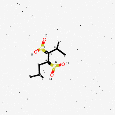 CC(C)CC(C(C(C)C)=S(=O)=O)=S(=O)=O